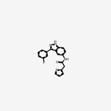 O=C(Cc1cccs1)Nc1ccc2[nH]nc(-c3cccc(F)c3)c2c1